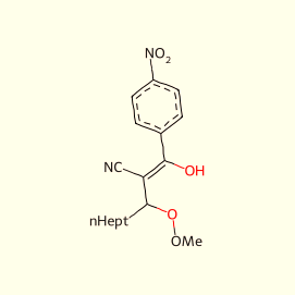 CCCCCCCC(OOC)/C(C#N)=C(\O)c1ccc([N+](=O)[O-])cc1